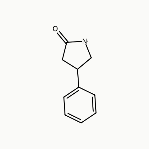 O=C1CC(c2ccccc2)C[N]1